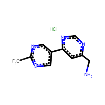 Cl.NCc1cc(-c2cnc(C(F)(F)F)nc2)ncn1